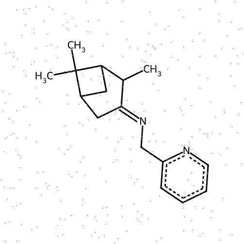 CC1/C(=N/Cc2ccccn2)CC2CC1C2(C)C